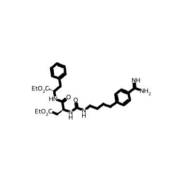 CCOC(=O)C[C@H](NC(=O)NCCCCc1ccc(C(=N)N)cc1)C(=O)N[C@@H](Cc1ccccc1)C(=O)OCC